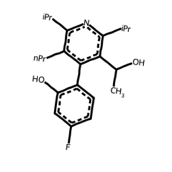 CCCc1c(C(C)C)nc(C(C)C)c(C(C)O)c1-c1ccc(F)cc1O